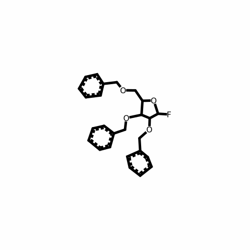 FC1OC(COCc2ccccc2)C(OCc2ccccc2)C1OCc1ccccc1